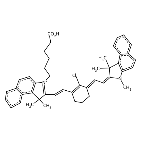 CN1/C(=C/C=C2\CCCC(/C=C/C3=[N+](CCCCCC(=O)O)c4ccc5ccccc5c4C3(C)C)=C2Cl)C(C)(C)c2c1ccc1ccccc21